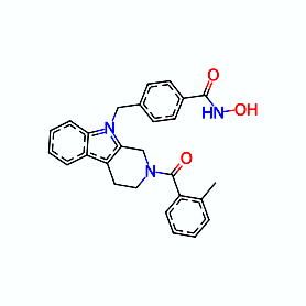 Cc1ccccc1C(=O)N1CCc2c(n(Cc3ccc(C(=O)NO)cc3)c3ccccc23)C1